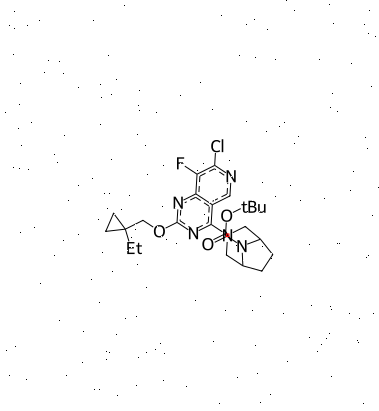 CCC1(COc2nc(N3CC4CCC(C3)N4C(=O)OC(C)(C)C)c3cnc(Cl)c(F)c3n2)CC1